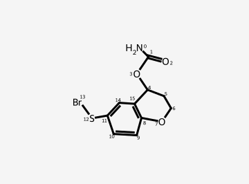 NC(=O)OC1CCOc2ccc(SBr)cc21